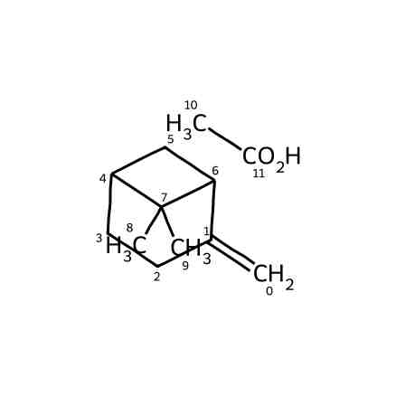 C=C1CCC2CC1C2(C)C.CC(=O)O